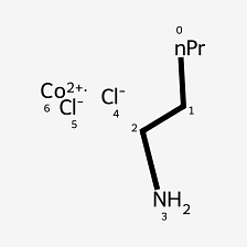 CCCCCN.[Cl-].[Cl-].[Co+2]